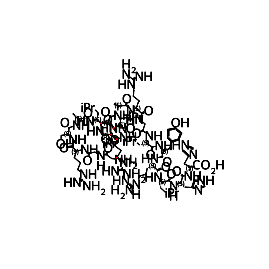 CC(C)C[C@H](NC(=O)CNC(=O)[C@H](CCCNC(=N)N)NC(=O)[C@H](C)NC(=O)[C@H](C)NC(=O)[C@H](CCCNC(=N)N)NC(=O)[C@H](CC(C)C)NC(=O)[C@@H](NC(=O)[C@H](CC(C)C)NC(=O)[C@H](C)NC(=O)[C@H](CO)NC(=O)[C@H](CCCNC(=N)N)NC(=O)CNC(=O)CN)C(C)C)C(=O)N[C@@H](Cc1ccc(O)cc1)C(=O)N[C@@H](CCCNC(=N)N)C(=O)N[C@@H](CC(C)C)C(=O)N[C@@H](Cc1c[nH]cn1)C(=O)N[C@@H](Cc1c[nH]cn1)C(=O)O